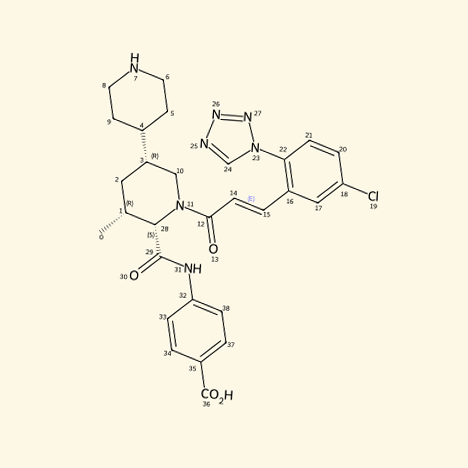 C[C@@H]1C[C@H](C2CCNCC2)CN(C(=O)/C=C/c2cc(Cl)ccc2-n2cnnn2)[C@@H]1C(=O)Nc1ccc(C(=O)O)cc1